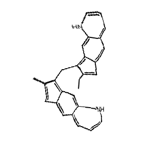 Cc1cc2cc3ccc[nH]c3cc2c1Cc1c(C)cc2cc3ccc[nH]c3cc12